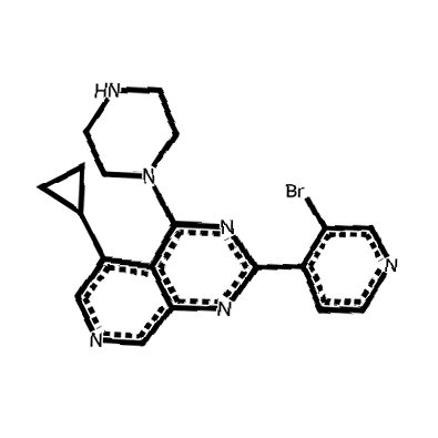 Brc1cnccc1-c1nc(N2CCNCC2)c2c(C3CC3)cncc2n1